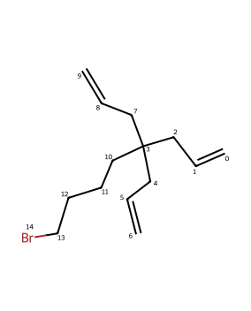 C=CCC(CC=C)(CC=C)CCCCBr